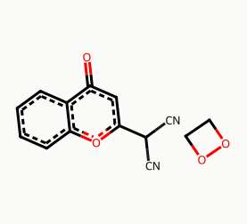 C1COO1.N#CC(C#N)c1cc(=O)c2ccccc2o1